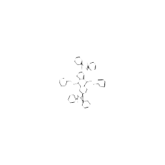 C1=CCCC(CCc2c3cc(N(c4ccccc4)c4ccccc4)ccc3c(CCc3ccccc3)c3cc(N(c4ccccc4)c4ccccc4)ccc23)=C1